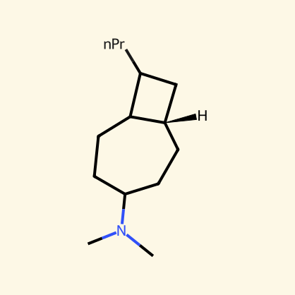 CCCC1C[C@@H]2CCC(N(C)C)CCC12